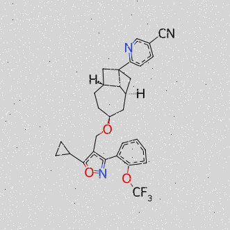 N#Cc1ccc(C23C[C@H]4CC[C@H](OCc5c(-c6ccccc6OC(F)(F)F)noc5C5CC5)C[C@H](C2)C43)nc1